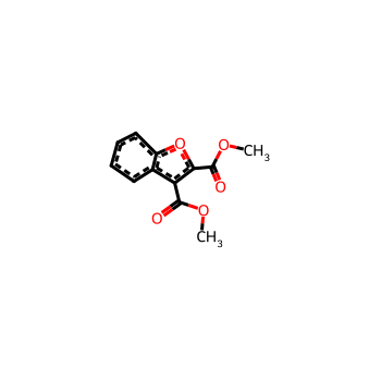 COC(=O)c1oc2ccccc2c1C(=O)OC